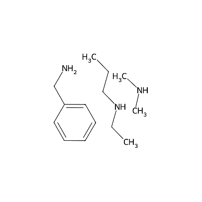 CCCNCC.CNC.NCc1ccccc1